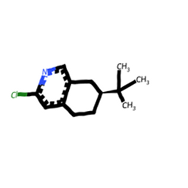 CC(C)(C)[C@H]1CCc2cc(Cl)ncc2C1